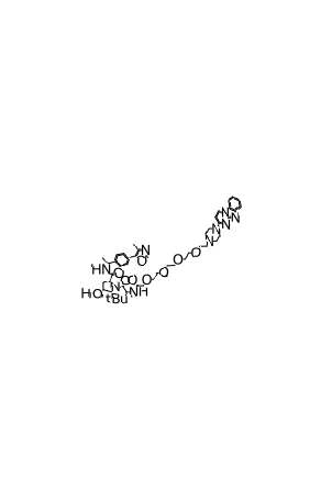 Cc1ncoc1-c1ccc([C@H](C)NC(=O)[C@@H]2C[C@@H](O)CN2C(=O)[C@@H](NC(=O)COCCOCCOCCOCCN2CCN(c3ccn4c(n3)nc3ccccc34)CC2)C(C)(C)C)cc1